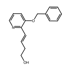 OCCC=Cc1ncccc1OCc1ccccc1